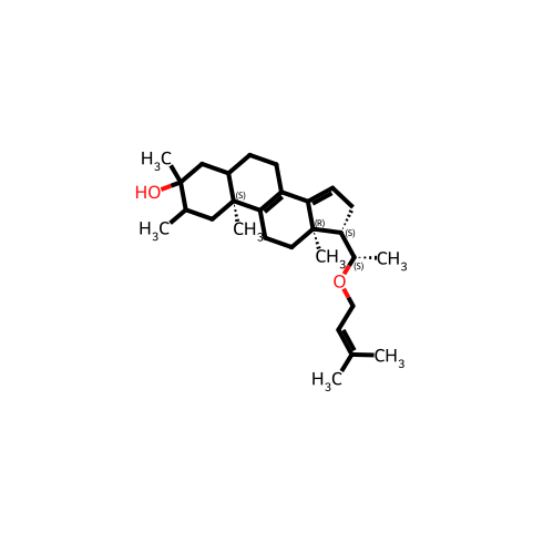 CC(C)=CCO[C@@H](C)[C@H]1CC=C2C3=C(CC[C@@]21C)[C@@]1(C)CC(C)C(C)(O)CC1CC3